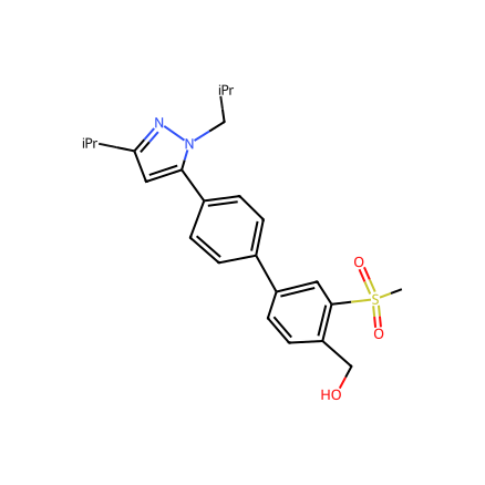 CC(C)Cn1nc(C(C)C)cc1-c1ccc(-c2ccc(CO)c(S(C)(=O)=O)c2)cc1